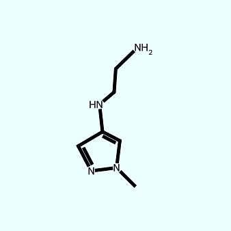 Cn1cc(NCCN)cn1